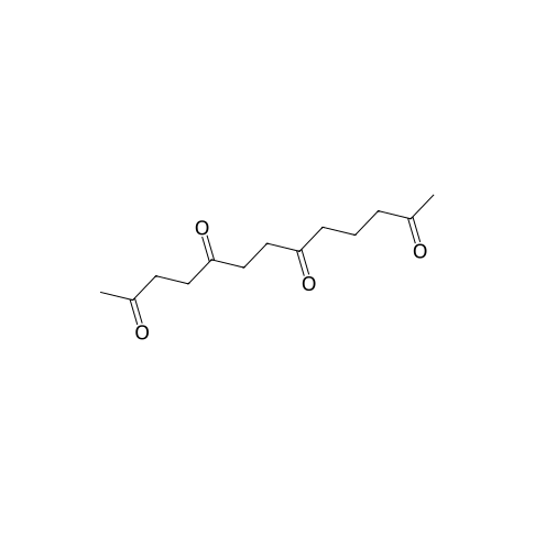 CC(=O)CCCC(=O)CCC(=O)CCC(C)=O